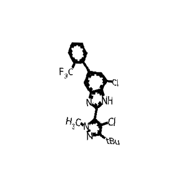 Cn1nc(C(C)(C)C)c(Cl)c1-c1nc2cc(-c3ccccc3C(F)(F)F)cc(Cl)c2[nH]1